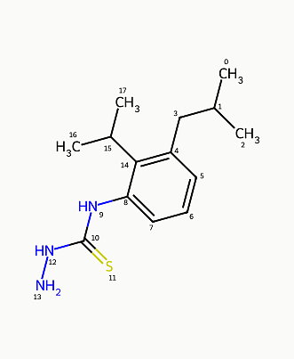 CC(C)Cc1cccc(NC(=S)NN)c1C(C)C